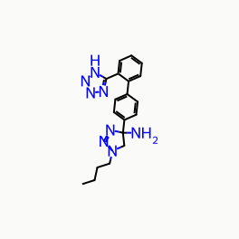 CCCCN1CC(N)(c2ccc(-c3ccccc3-c3nnn[nH]3)cc2)N=N1